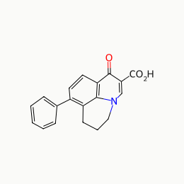 O=C(O)c1cn2c3c(c(-c4ccccc4)ccc3c1=O)CCC2